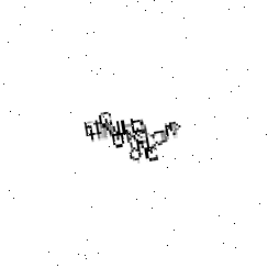 CCC(=O)NNC(=O)CN1Cc2ccccc2N(C(=O)c2ccc(N3CCCC3)cc2Cl)CC1=O